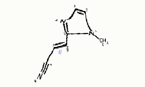 Cn1ccnc1/C=C/C#N